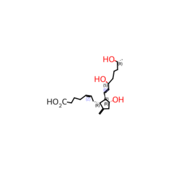 C=C1C[C@@H](O)[C@H](/C=C/[C@@H](O)CCC[C@@H](C)O)[C@H]1C/C=C\CCCC(=O)O